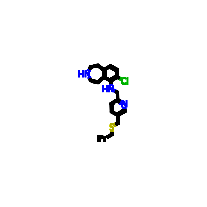 CC(C)CSCc1ccc(CNc2c(Cl)ccc3c2CCNCC3)nc1